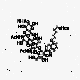 CCCCCC/C=C\CCCOc1cccc(C(=O)NC2[C@H](O[C@@H]3C(CO)O[C@@H](O[C@@H]4C(CO)O[C@@H](O[C@@H]5C(CO)OC(O)C(NC(C)=O)C5O)C(NC(C)=O)[C@H]4O)C(NC(C)=O)C3O)OC(CO)[C@@H](O)[C@@H]2O)c1